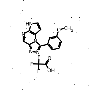 COc1cccc(-c2nnc3cnc4[nH]ccc4n23)c1.O=C(O)C(F)(F)F